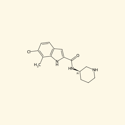 Cc1c(Cl)ccc2cc(C(=O)N[C@@H]3CCCNC3)[nH]c12